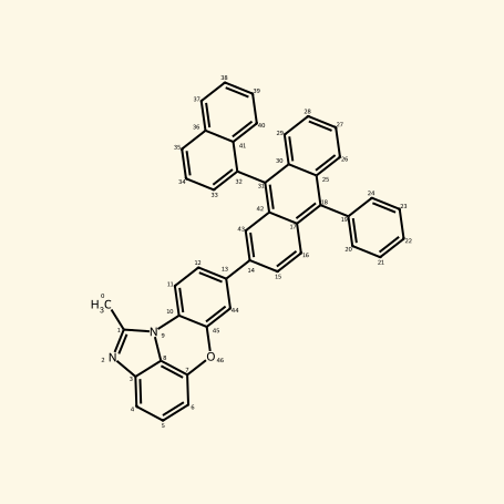 Cc1nc2cccc3c2n1-c1ccc(-c2ccc4c(-c5ccccc5)c5ccccc5c(-c5cccc6ccccc56)c4c2)cc1O3